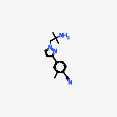 Cc1cc(-c2ccn(CC(C)(C)N)n2)ccc1C#N